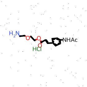 CC(=O)Nc1ccc(/C=C/C(=O)OCCOCCN)cc1.Cl